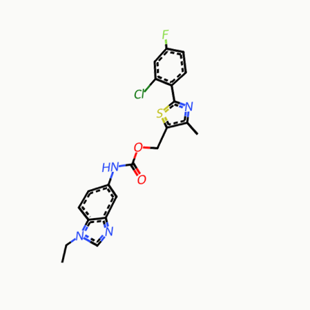 CCn1cnc2cc(NC(=O)OCc3sc(-c4ccc(F)cc4Cl)nc3C)ccc21